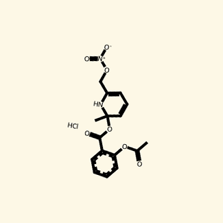 CC(=O)Oc1ccccc1C(=O)OC1(C)C=CC=C(CO[N+](=O)[O-])N1.Cl